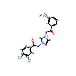 COc1cccc(C(=O)Cn2cc[n+](CC(=O)c3ccc(Cl)c(Cl)c3)c2)c1